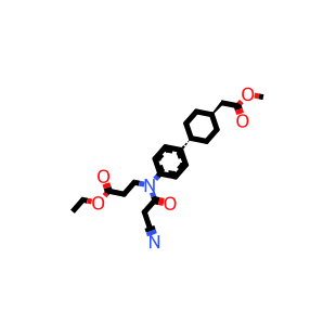 CCOC(=O)CCN(C(=O)CC#N)c1ccc([C@H]2CC[C@H](CC(=O)OC)CC2)cc1